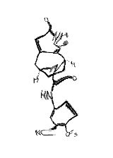 N#Cc1cc(NC(=O)N2[C@H]3CC[C@@H]2c2n[nH]c(=O)cc2C3)ccc1C(F)(F)F